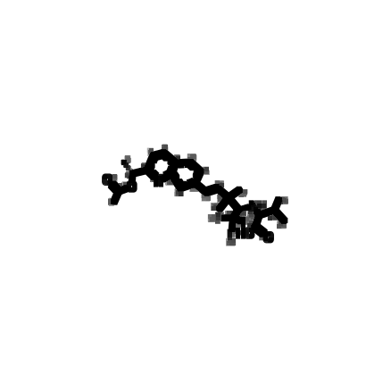 CC(=O)O[C@H](C)c1ccc2ccc(/C=C/C(C)(C)[C@@H](NC(C(=O)O)C(C)C)C(F)(F)F)cc2n1